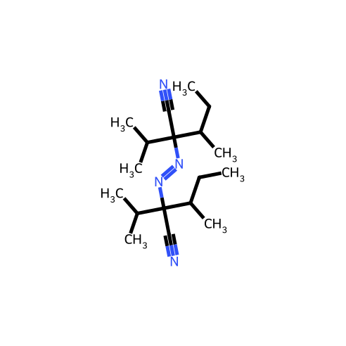 CCC(C)C(C#N)(N=NC(C#N)(C(C)C)C(C)CC)C(C)C